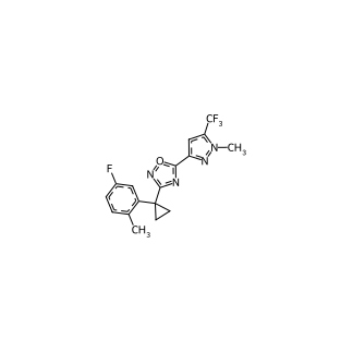 Cc1ccc(F)cc1C1(c2noc(-c3cc(C(F)(F)F)n(C)n3)n2)CC1